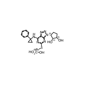 CCCSc1nc(NC2(c3ccccc3)CC2)c2nnn([C@@H]3CC[C@@H](O)[C@H]3O)c2n1.O=C(O)O